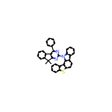 CC1(C)c2ccccc2-c2c(-c3ccccc3)nc(-n3c4ccccc4c4ccc5sc6ccccc6c5c43)nc21